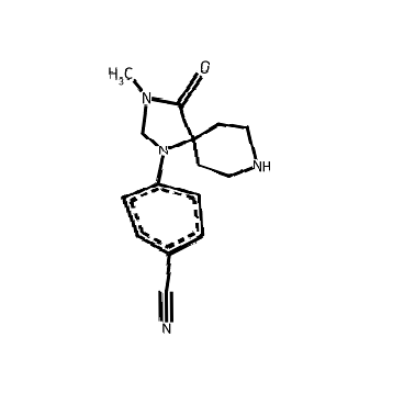 CN1CN(c2ccc(C#N)cc2)C2(CCNCC2)C1=O